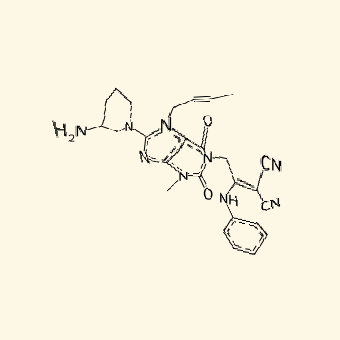 CC#CCn1c(N2CCCC(N)C2)nc2c1c(=O)n(CC(Nc1ccccc1)=C(C#N)C#N)c(=O)n2C